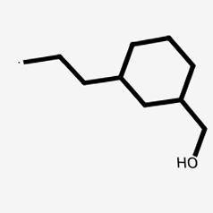 [CH2]CCC1CCCC(CO)C1